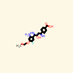 COCCOc1cc(N)c(C(=N)/C(O)=C/C(=N)c2ccc(C(=O)O)cc2)cc1F